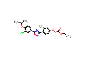 CCOC(=O)COc1ccc(-c2noc(-c3ccc(OC(C)C)c(Cl)c3)n2)c(C)c1